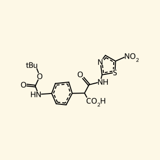 CC(C)(C)OC(=O)Nc1ccc(C(C(=O)O)C(=O)Nc2ncc([N+](=O)[O-])s2)cc1